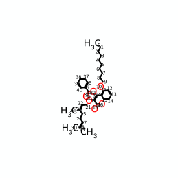 CCCCCCCCCCOc1cccc2oc(=O)c(OCC=C(C)CCC=C(C)C)c(OC(=O)c3ccccc3)c12